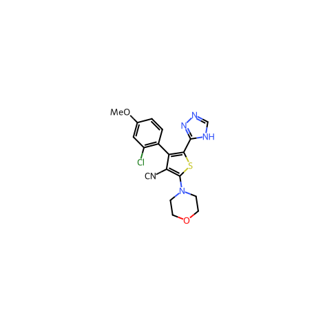 [C-]#[N+]c1c(N2CCOCC2)sc(-c2nnc[nH]2)c1-c1ccc(OC)cc1Cl